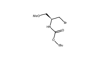 COC[C@@H](CBr)NC(=O)OC(C)(C)C